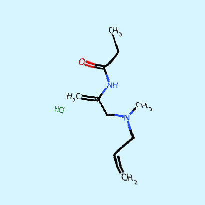 C=CCN(C)CC(=C)NC(=O)CC.Cl